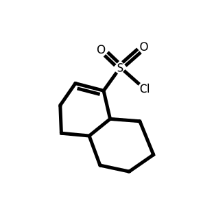 O=S(=O)(Cl)C1=CCCC2CCCCC12